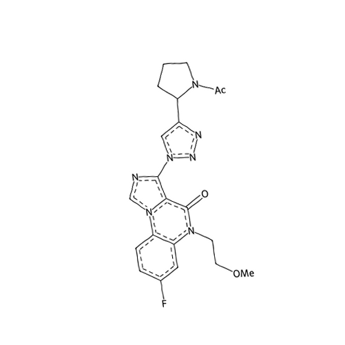 COCCn1c(=O)c2c(-n3cc(C4CCCN4C(C)=O)nn3)ncn2c2ccc(F)cc21